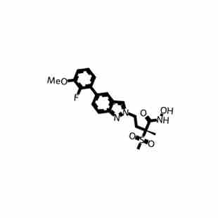 COc1cccc(-c2ccc3nn(CC[C@](C)(C(=O)NO)S(C)(=O)=O)cc3c2)c1F